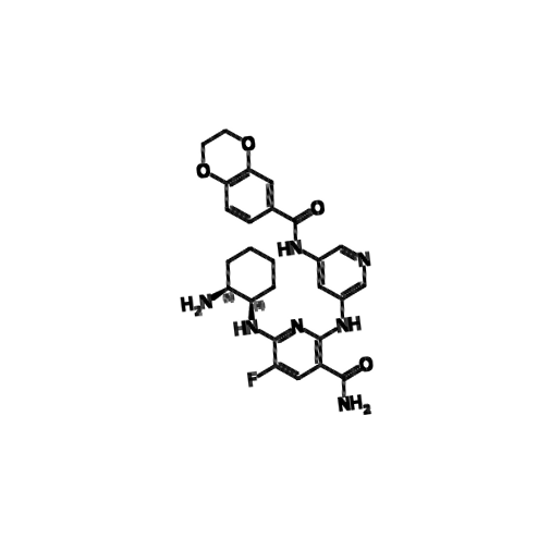 NC(=O)c1cc(F)c(N[C@@H]2CCCC[C@@H]2N)nc1Nc1cncc(NC(=O)c2ccc3c(c2)OCCO3)c1